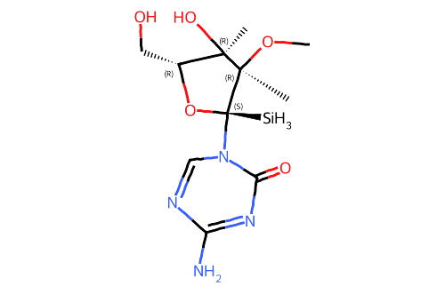 CO[C@@]1(C)[C@]([SiH3])(n2cnc(N)nc2=O)O[C@H](CO)[C@@]1(C)O